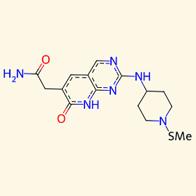 CSN1CCC(Nc2ncc3cc(CC(N)=O)c(=O)[nH]c3n2)CC1